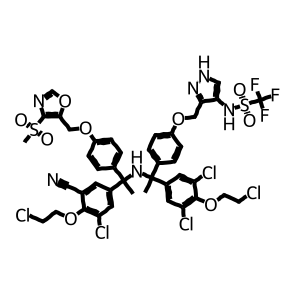 CC(NC(C)(c1ccc(OCc2ocnc2S(C)(=O)=O)cc1)c1cc(Cl)c(OCCCl)c(C#N)c1)(c1ccc(OCc2n[nH]cc2NS(=O)(=O)C(F)(F)F)cc1)c1cc(Cl)c(OCCCl)c(Cl)c1